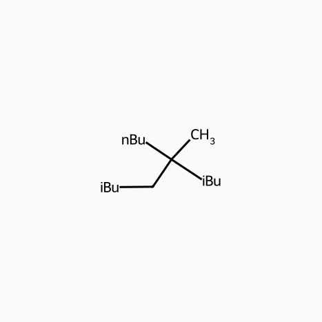 [CH2]CC(C)C(C)(CCCC)CC(C)CC